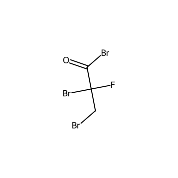 O=C(Br)C(F)(Br)CBr